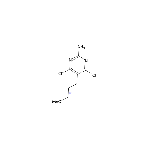 CO/C=C/Cc1c(Cl)nc(C)nc1Cl